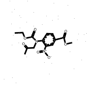 CCOC(=O)N(CC(C)=O)c1ccc(C(=O)OC)cc1[N+](=O)[O-]